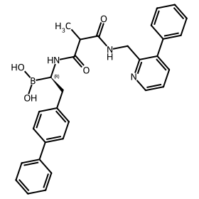 CC(C(=O)NCc1ncccc1-c1ccccc1)C(=O)N[C@@H](Cc1ccc(-c2ccccc2)cc1)B(O)O